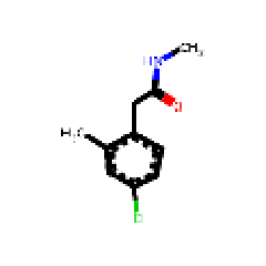 CNC(=O)Cc1ccc(Cl)cc1C